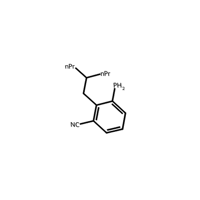 CCCC(CCC)Cc1c(P)cccc1C#N